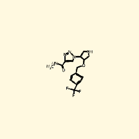 CNC(=O)c1cn(C2CNCC2OCc2ccc(C(F)(F)F)cc2)nn1